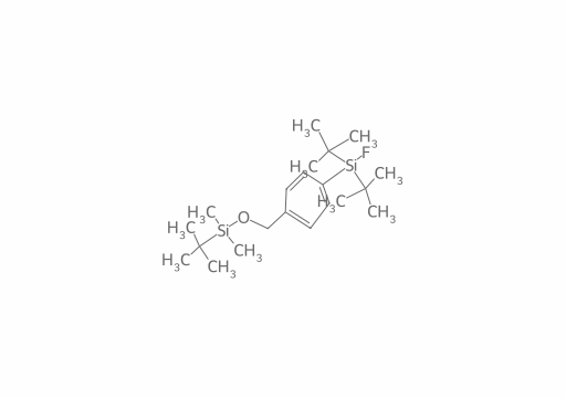 CC(C)(C)[Si](C)(C)OCc1ccc([Si](F)(C(C)(C)C)C(C)(C)C)cc1